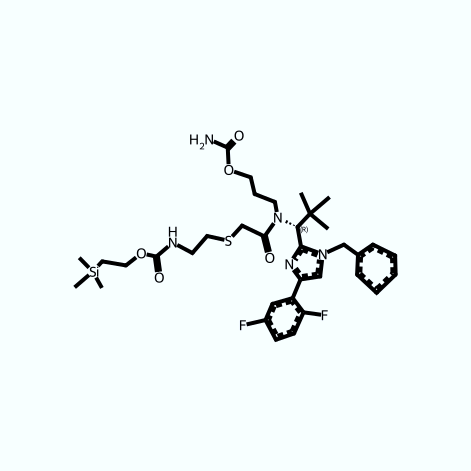 CC(C)(C)[C@H](c1nc(-c2cc(F)ccc2F)cn1Cc1ccccc1)N(CCCOC(N)=O)C(=O)CSCCNC(=O)OCC[Si](C)(C)C